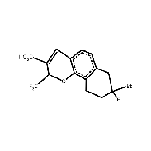 CCC1(CC)CCc2c(ccc3c2OC(C(F)(F)F)C(C(=O)O)=C3)C1